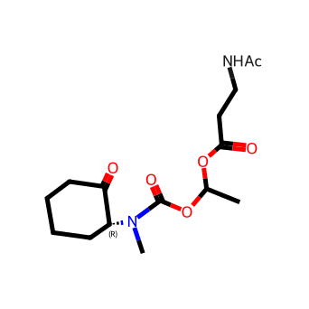 CC(=O)NCCC(=O)OC(C)OC(=O)N(C)[C@@H]1CCCCC1=O